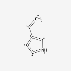 C=[C]c1cc[nH]c1